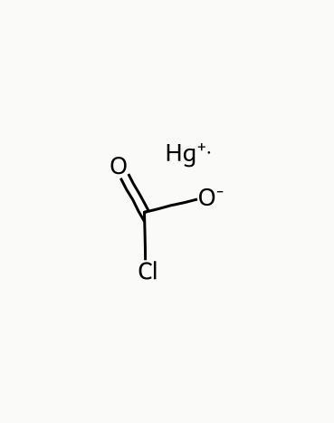 O=C([O-])Cl.[Hg+]